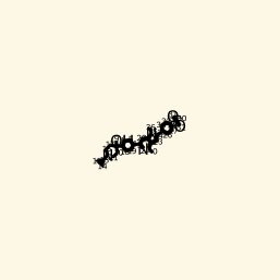 Cc1nc(-c2ccc(C3(O)CCN(C4CC4)CC3)cc2)cc2c1cc(-c1ccc(S(C)(=O)=O)cc1)n2C